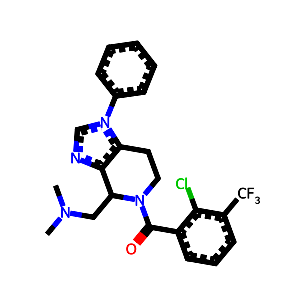 CN(C)CC1c2ncn(-c3ccccc3)c2CCN1C(=O)c1cccc(C(F)(F)F)c1Cl